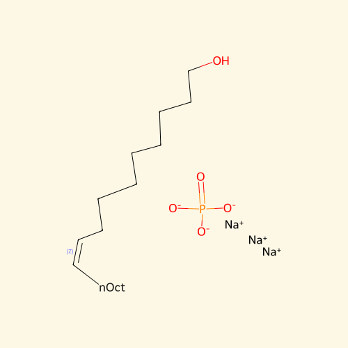 CCCCCCCC/C=C\CCCCCCCCO.O=P([O-])([O-])[O-].[Na+].[Na+].[Na+]